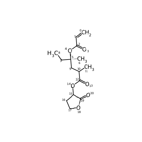 C=CC(=O)O[C@](C)(CC)CC(C)C(=O)OC1CCOC1=O